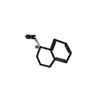 O=[C][C@H]1CCCc2ccccc21